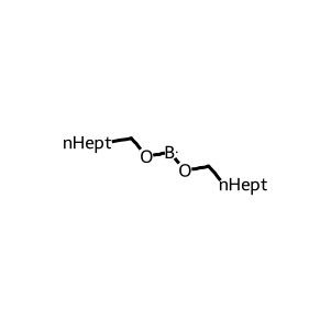 CCCCCCCCO[B]OCCCCCCCC